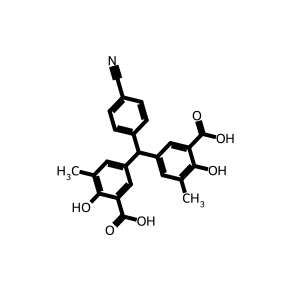 Cc1cc(C(c2ccc(C#N)cc2)c2cc(C)c(O)c(C(=O)O)c2)cc(C(=O)O)c1O